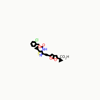 O=C(Nc1c(C#Cc2cc3cc(C4(C(=O)O)CC4)oc3o2)nsc1C1CC1)OCc1ccccc1Cl